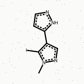 Cn1ncc(-c2ccn[nH]2)c1I